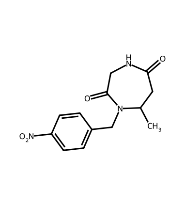 CC1CC(=O)NCC(=O)N1Cc1ccc([N+](=O)[O-])cc1